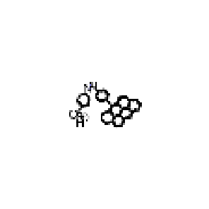 O=[SH](=O)C1=CCC(/N=N\c2ccc(-c3c4c5c(ccc6cc7cccc8ccc3c(c87)c65)CCC=4)cc2)C=C1